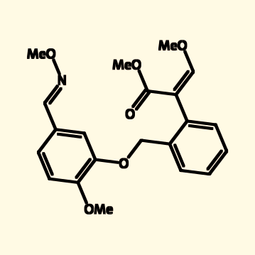 COC=C(C(=O)OC)c1ccccc1COc1cc(C=NOC)ccc1OC